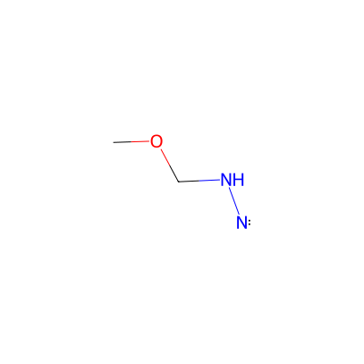 COCN[N]